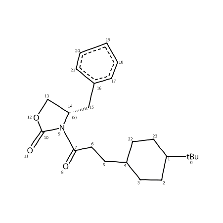 CC(C)(C)C1CCC(CCC(=O)N2C(=O)OC[C@@H]2Cc2ccccc2)CC1